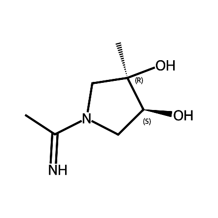 CC(=N)N1C[C@H](O)[C@](C)(O)C1